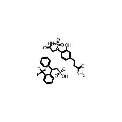 NC(=O)CCc1ccc(N2CC(=O)NS2(=O)=O)c(O)c1.O=S(=O)(O)CC(c1ccccc1)c1ccccc1C(F)(F)F